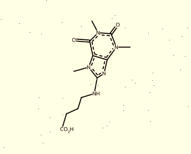 Cn1c(=O)c2c(nc(NCCCC(=O)O)n2C)n(C)c1=O